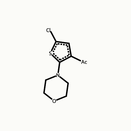 CC(=O)c1cc(Cl)sc1N1CCOCC1